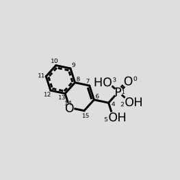 O=P(O)(O)C(O)C1=Cc2ccccc2OC1